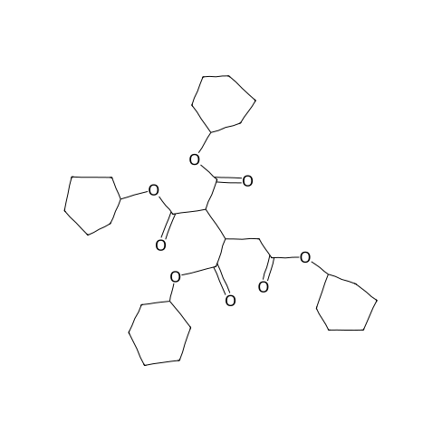 O=C(CC(C(=O)OC1CCCCC1)C(C(=O)OC1CCCCC1)C(=O)OC1CCCCC1)OC1CCCCC1